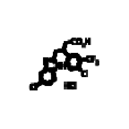 Cl.O=C(O)CC(Cc1nc2cc(Cl)ccc2[nH]1)c1ccc(Cl)c(C(F)(F)F)c1